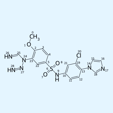 COc1ccc(S(=O)(=O)Nc2ccc(-n3ccnc3)c(Cl)c2)cc1N(C=N)N=N